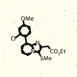 CCOC(=O)Cc1nc2c(-c3ccc(OC)cc3Cl)cccn2c1SC